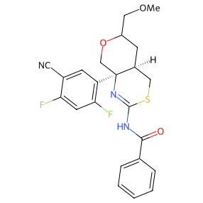 COCC1C[C@H]2CSC(NC(=O)c3ccccc3)=N[C@@]2(c2cc(C#N)c(F)cc2F)CO1